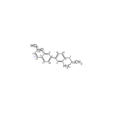 CC(C)Cc1ccc(-c2ccc(/C=C\C(=O)O)cc2)cc1